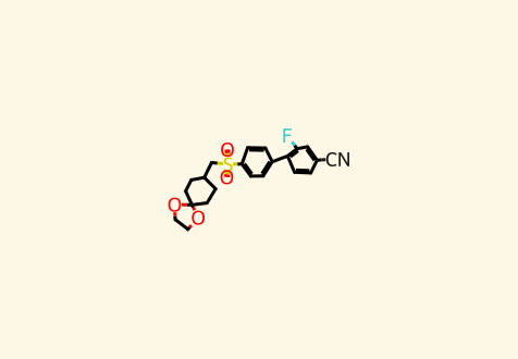 N#Cc1ccc(-c2ccc(S(=O)(=O)CC3CCC4(CC3)OCCO4)cc2)c(F)c1